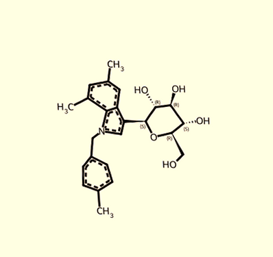 Cc1ccc(Cn2cc([C@@H]3O[C@H](CO)[C@@H](O)[C@H](O)[C@H]3O)c3cc(C)cc(C)c32)cc1